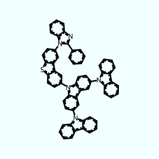 c1ccc(-c2nc3ccccc3n2-c2ccc3sc4ccc(-n5c6ccc(-n7c8ccccc8c8ccccc87)cc6c6cc(-n7c8ccccc8c8ccccc87)ccc65)cc4c3c2)cc1